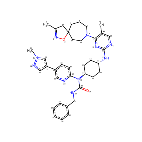 CC1=NOC2(CCCN(c3nc(N[C@H]4CC[C@H](N(C(=O)NCc5ccccc5)c5ccc(-c6cnn(C)c6)cn5)CC4)ncc3C#N)CC2)C1